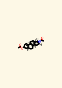 CC(=O)O[C@H]1CC[C@@]2(C)[C@@H](CC[C@@H]3[C@@H]2CC[C@@]2(C)[C@H]3C[C@@H]3[C@H]2N3C(C)=O)C1